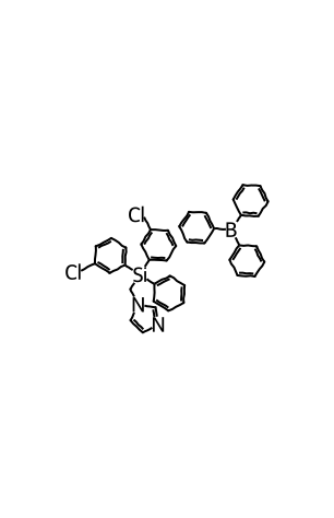 Clc1cccc([Si](Cn2ccnc2)(c2ccccc2)c2cccc(Cl)c2)c1.c1ccc(B(c2ccccc2)c2ccccc2)cc1